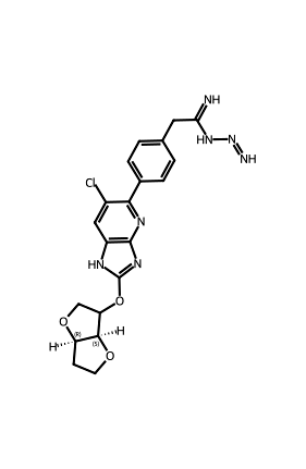 N=NNC(=N)Cc1ccc(-c2nc3nc(OC4CO[C@@H]5CCO[C@H]45)[nH]c3cc2Cl)cc1